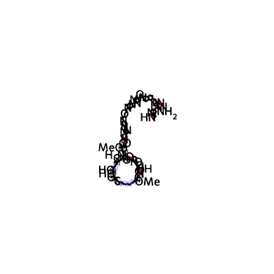 CO[C@H]1C[C@@H]2CC[C@@H](C)[C@@](O)(O2)C(=O)C(=O)N2CCCC[C@H]2C(=O)O[C@H]([C@H](N)C[C@@H]2CC[C@@H](OC(=O)N3CCc4nc(N5CCN(CCOCCN6CCN(c7ncc(C(=O)N8CCc9cc(Cn%10nc(-c%11cnc%12[nH]ccc%12c%11)c%11c(N)ncnc%11%10)ccc9C8)cn7)CC6)CC5)ncc4C3)[C@H](OC)C2)CC(=O)[C@H](C)/C=C(\C)[C@@H](O)[C@@H](O)C(=O)[C@H](C)C[C@H](C)/C=C/C=C/C=C/1C